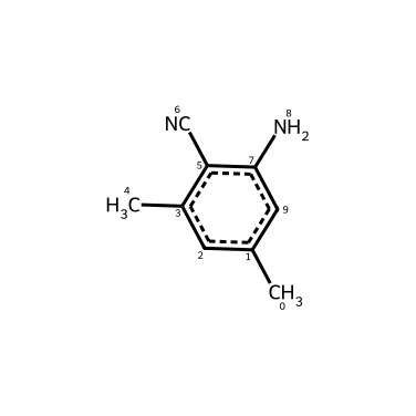 Cc1cc(C)c(C#N)c(N)c1